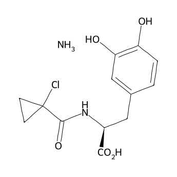 N.O=C(O)[C@H](Cc1ccc(O)c(O)c1)NC(=O)C1(Cl)CC1